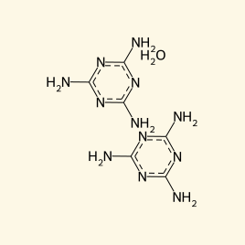 Nc1nc(N)nc(N)n1.Nc1nc(N)nc(N)n1.O